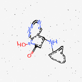 O=c1cc(Nc2ccccc2)c2cncnc2n1O